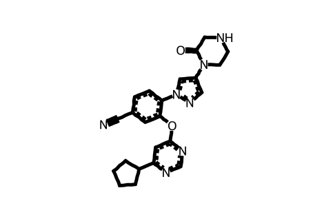 N#Cc1ccc(-n2cc(N3CCNCC3=O)cn2)c(Oc2cc(C3CCCC3)ncn2)c1